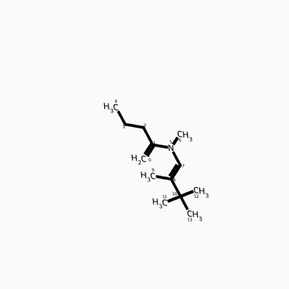 C=C(CCC)N(C)/C=C(\C)C(C)(C)C